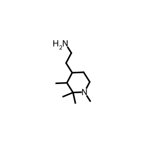 CC1C(CCN)CCN(C)C1(C)C